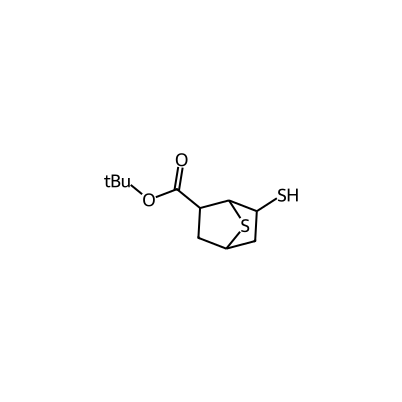 CC(C)(C)OC(=O)C1CC2CC(S)C1S2